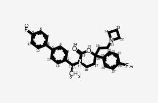 C[C@@H](c1ccc(-c2ccc(F)cc2)cc1)N1CCC(CCN2CCC2)(c2ccc(F)cc2)OC1=O